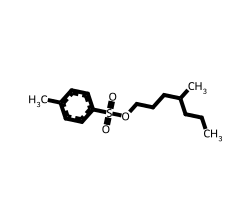 CCCC(C)CCCOS(=O)(=O)c1ccc(C)cc1